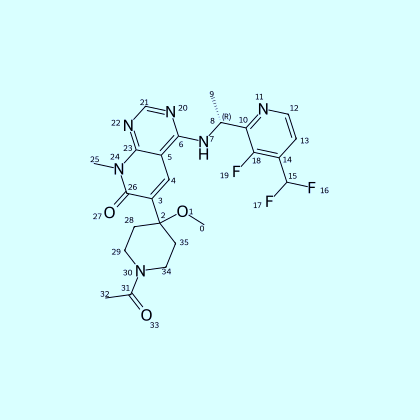 COC1(c2cc3c(N[C@H](C)c4nccc(C(F)F)c4F)ncnc3n(C)c2=O)CCN(C(C)=O)CC1